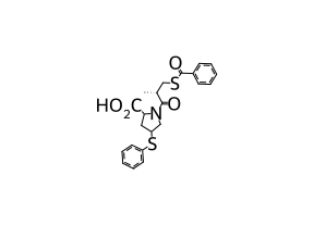 C[C@H](CSC(=O)c1ccccc1)C(=O)N1CC(Sc2ccccc2)CC1C(=O)O